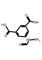 NNC=O.O=C(O)c1cccc(C(=O)O)c1